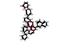 c1ccc(-c2ccccc2-c2c(-c3ccccc3)cccc2N(c2ccc(-c3ccc4c(c3)oc3ccccc34)cc2)c2cccc(-c3ccc4ccccc4c3)c2)cc1